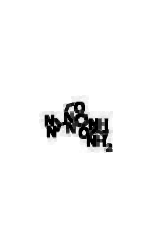 NC(=O)[C@@H](Nc1cc2c3c(c1)nc(-c1cncnc1)n3CCCO2)C1CC1